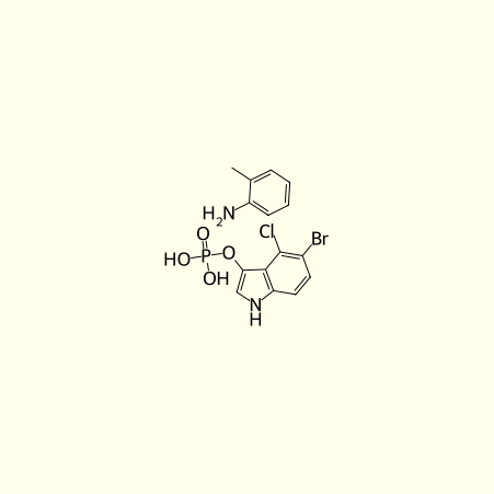 Cc1ccccc1N.O=P(O)(O)Oc1c[nH]c2ccc(Br)c(Cl)c12